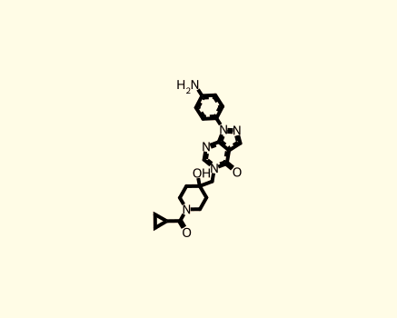 Nc1ccc(-n2ncc3c(=O)n(CC4(O)CCN(C(=O)C5CC5)CC4)cnc32)cc1